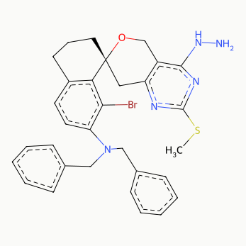 CSc1nc2c(c(NN)n1)CO[C@]1(CCCc3ccc(N(Cc4ccccc4)Cc4ccccc4)c(Br)c31)C2